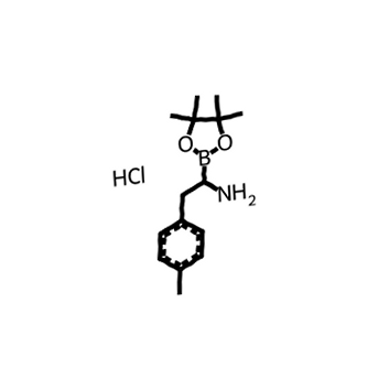 Cc1ccc(CC(N)B2OC(C)(C)C(C)(C)O2)cc1.Cl